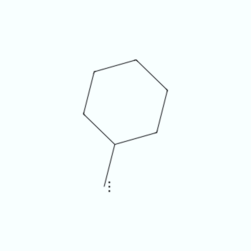 [C]C1CCCCC1